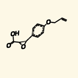 C=CCOc1ccc(C2OC2C(=O)O)cc1